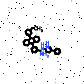 CCC1=CC(C2C3=C(CCC=C3)C(c3cccc(C(N)NC4C=CC(c5ccccc5)=CN4)c3)=C3C=CC=CC32)=CCC1